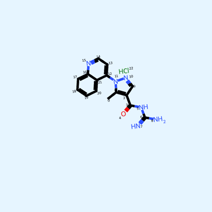 Cc1c(C(=O)NC(=N)N)cnn1-c1ccnc2ccccc12.Cl